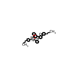 CCCCc1ccc(-c2nc(-c3ccccc3)nc(-c3ccccc3-n3c4ccccc4c4c5oc6ccc(CCCC)cc6c5ccc43)n2)cc1